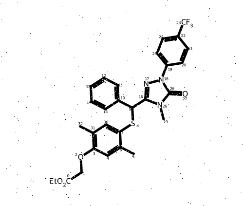 CCOC(=O)COc1cc(C)c(SC(c2ccccc2)c2nn(-c3ccc(C(F)(F)F)cc3)c(=O)n2C)cc1C